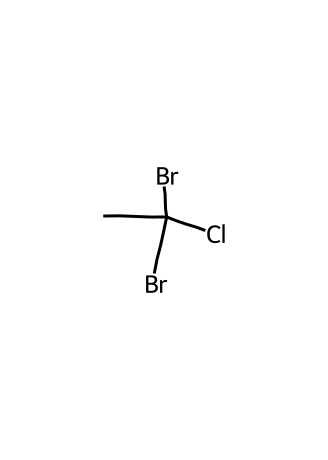 CC(Cl)(Br)Br